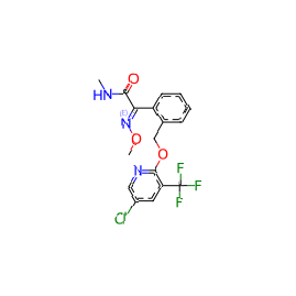 CNC(=O)/C(=N/OC)c1ccccc1COc1ncc(Cl)cc1C(F)(F)F